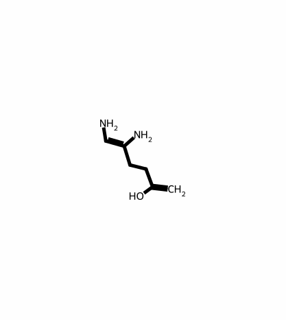 C=C(O)CC/C(N)=C/N